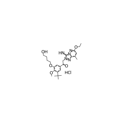 CCOc1cc(C)c2nn(CC(=O)c3cc(OCCCCO)c(OC)c(C(C)(C)C)c3)c(=N)n2n1.Cl